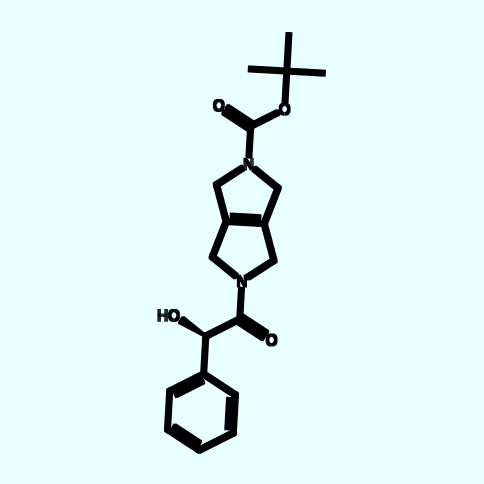 CC(C)(C)OC(=O)N1CC2=C(C1)CN(C(=O)[C@H](O)c1ccccc1)C2